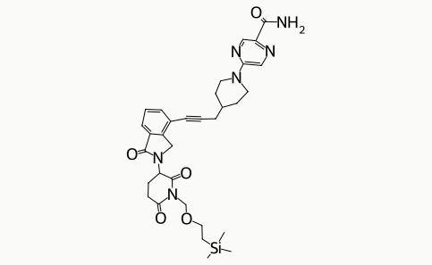 C[Si](C)(C)CCOCN1C(=O)CCC(N2Cc3c(C#CCC4CCN(c5cnc(C(N)=O)cn5)CC4)cccc3C2=O)C1=O